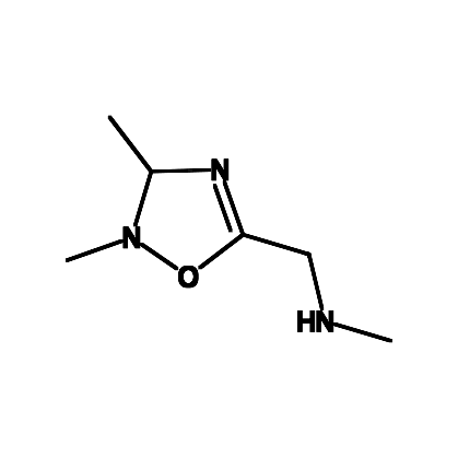 CNCC1=NC(C)N(C)O1